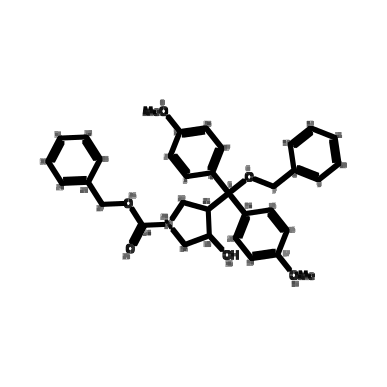 COc1ccc(C(OCc2ccccc2)(c2ccc(OC)cc2)C2CN(C(=O)OCc3ccccc3)CC2O)cc1